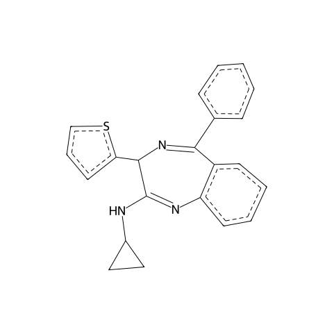 c1ccc(C2=NC(c3cccs3)C(NC3CC3)=Nc3ccccc32)cc1